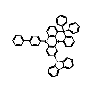 c1ccc(-c2ccc(B3c4ccc(-n5c6ccccc6c6ccccc65)cc4N4c5ccccc5C(c5ccccc5)(c5ccccc5)c5cccc3c54)cc2)cc1